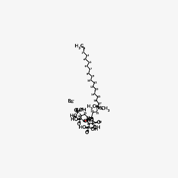 CCCCCCCCCCCCCCCCCC[N+](C)(C)CCCN(CC(P(=O)(O)O)P(=O)(O)O)CC(P(=O)(O)O)P(=O)(O)O.[Br-]